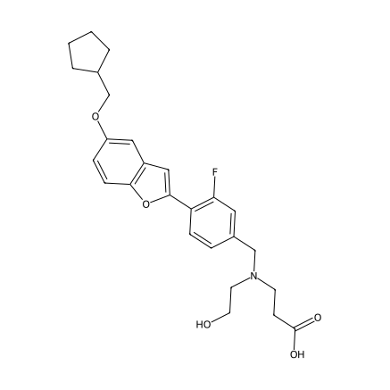 O=C(O)CCN(CCO)Cc1ccc(-c2cc3cc(OCC4CCCC4)ccc3o2)c(F)c1